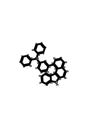 c1ccc(N(c2ccccc2)c2cccc(-c3cccc4ccc5oc6ccccc6c5c34)c2)cc1